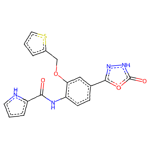 O=C(Nc1ccc(-c2n[nH]c(=O)o2)cc1OCc1cccs1)c1ccc[nH]1